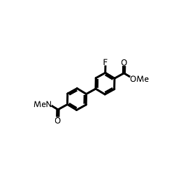 CNC(=O)c1ccc(-c2ccc(C(=O)OC)c(F)c2)cc1